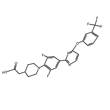 O=C(O)CC1CCN(c2c(F)cc(-c3nccc(Oc4cccc(C(F)(F)F)c4)n3)cc2F)CC1